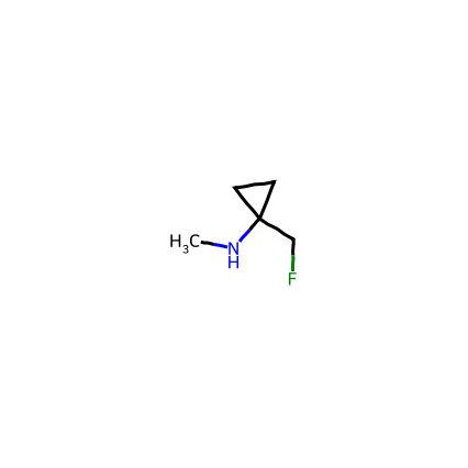 CNC1(CF)CC1